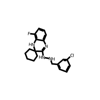 Fc1cccc2c1NC1(CCCCC1)C(NNCc1cccc(Cl)c1)=N2